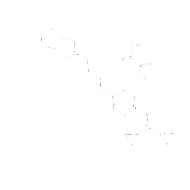 O=C(O)C(=O)O.O=C(c1ccc(OCCCN2CC3CCCC3C2)cc1)N(C1CC1)C1CC1